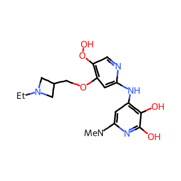 CCN1CC(COc2cc(Nc3cc(NC)nc(O)c3O)ncc2OO)C1